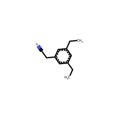 CCc1cc(CC)cc(CC#N)c1